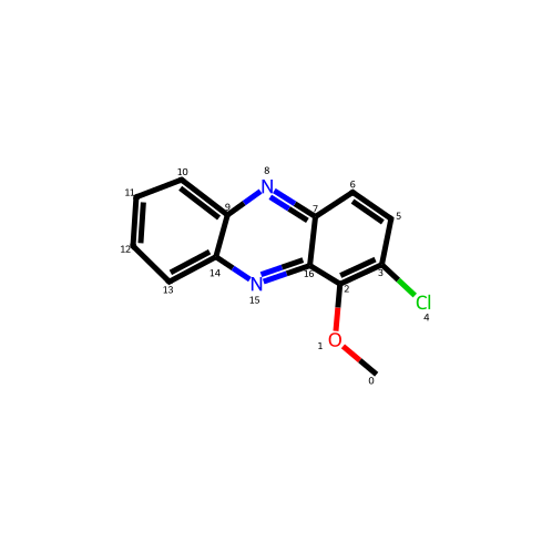 COc1c(Cl)ccc2nc3ccccc3nc12